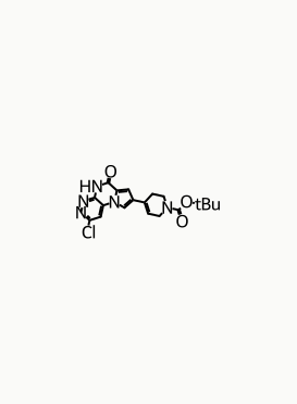 CC(C)(C)OC(=O)N1CC=C(c2cc3c(=O)[nH]c4nnc(Cl)cc4n3c2)CC1